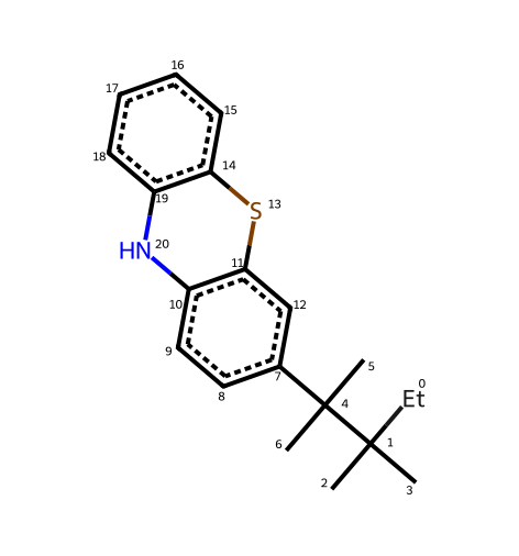 CCC(C)(C)C(C)(C)c1ccc2c(c1)Sc1ccccc1N2